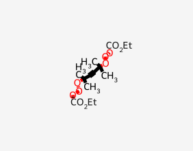 CCOC(=O)OOOC(C)(C)C#CC(C)(C)OOOC(=O)OCC